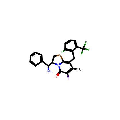 Cc1c(Cc2c(F)cccc2C(F)(F)F)c2n(c(=O)c1I)C(C(N)c1ccccc1)CS2